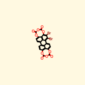 O=C1OC(=O)Oc2ccc3c4c(Br)c(Br)c5c6c(ccc(c7ccc(c2c73)O1)c64)OC(=O)OC(=O)O5